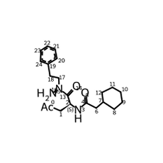 CC(=O)C[C@H](NC(=O)CC1CCCCC1)C(=O)N(N)CCc1ccccc1